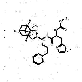 CC(C)(C)OC(=O)NC(Cc1ncco1)C(=O)N[C@@H](CCCc1ccccc1)B1O[C@@H]2C[C@@H]3C[C@@H](C3(C)C)[C@]2(C)O1